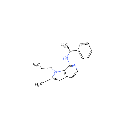 CCCn1c(C)cc2ccnc(N[C@@H](C)c3ccccc3)c21